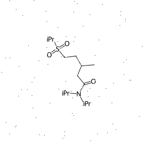 CC(CCS(=O)(=O)C(C)C)CC(=O)N(C(C)C)C(C)C